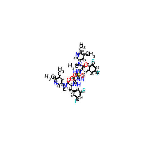 Cc1cc(N(C)C(=O)[C@H](Cc2cc(F)cc(F)c2)NC(=O)NS(=O)(=O)N[C@@H](Cc2cc(F)cc(F)c2)C(=O)N(C)c2cnc(C)c(C)c2)cnc1C